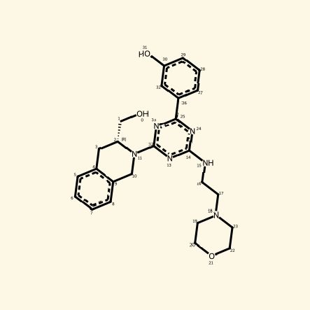 OC[C@H]1Cc2ccccc2CN1c1nc(NCCN2CCOCC2)nc(-c2cccc(O)c2)n1